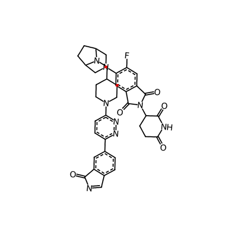 O=C1CCC(N2C(=O)c3cc(F)c(N4CC5CCC(C4)N5CC4CCN(c5ccc(-c6ccc7c(c6)C(=O)N=C7)nn5)CC4)cc3C2=O)C(=O)N1